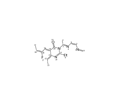 C=N/C=C\N=C(/C)n1c(CC)nc(=C\C)/c(=C\C(F)=C/C)c1=O